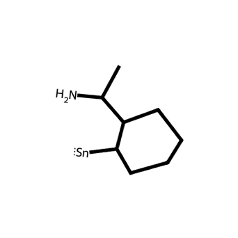 CC(N)C1CCCC[CH]1[Sn]